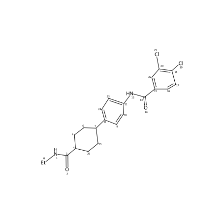 CCNC(=O)C1CCC(c2ccc(NC(=O)c3ccc(Cl)c(Cl)c3)cc2)CC1